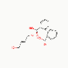 O=C(O)c1ccccc1.O=C(O)c1ccccc1.OCC=CCO